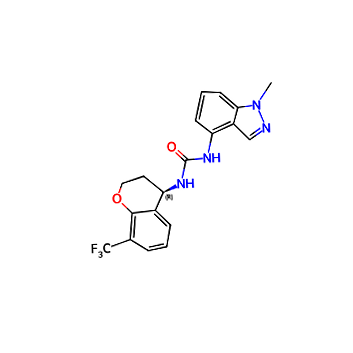 Cn1ncc2c(NC(=O)N[C@@H]3CCOc4c3cccc4C(F)(F)F)cccc21